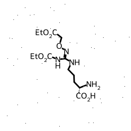 CCOC(=O)CO/N=C(/NCCC[C@H](N)C(=O)O)NC(=O)OCC